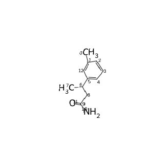 Cc1cccc(C(C)CC(N)=O)c1